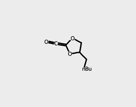 CCCCCC1COC(=C=O)O1